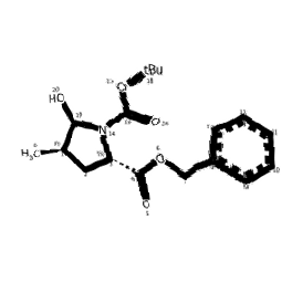 C[C@@H]1C[C@@H](C(=O)OCc2ccccc2)N(C(=O)OC(C)(C)C)C1O